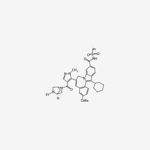 CCN1CC2C[C@H]1CN2C(=O)c1cnn(C)c1C1=Cc2cc(OC)ccc2-c2c(C3CCCCC3)c3ccc(C(=O)NS(=O)(=O)C(C)C)cc3n2C1